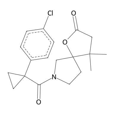 CC1(C)CC(=O)OC12CCN(C(=O)C1(c3ccc(Cl)cc3)CC1)C2